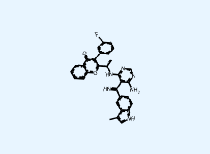 Cc1c[nH]c2ccc(C(=N)c3c(N)ncnc3NC(C)c3oc4ccccc4c(=O)c3-c3cccc(F)c3)cc12